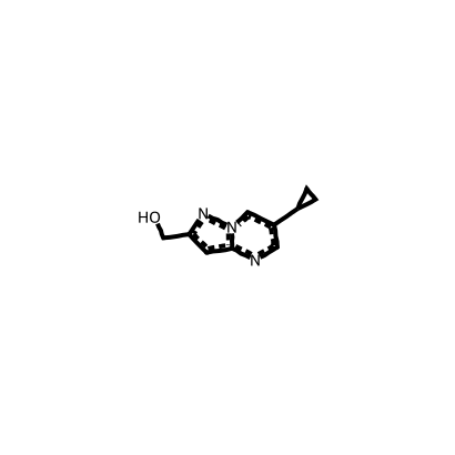 OCc1cc2ncc(C3CC3)cn2n1